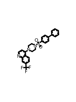 O=S(=O)(c1ccc(-c2ccccc2)cc1)N1CCN(c2ccnc3cc(C(F)(F)F)ccc23)CC1